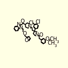 CC(C)Oc1cccc(CC(=O)N2CCC(CCN3CCC(C(=O)c4nc5ccccc5n4CCOCc4ccco4)CC3)(c3ccc(Cl)c(Cl)c3)C2)c1